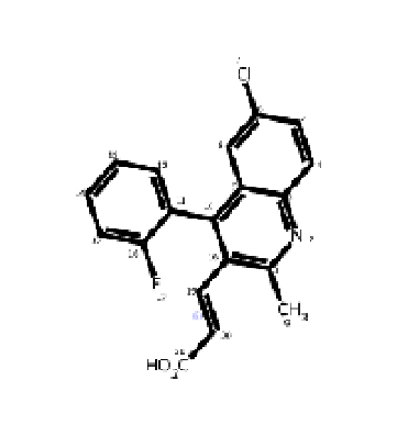 Cc1nc2ccc(Cl)cc2c(-c2ccccc2F)c1/C=C/C(=O)O